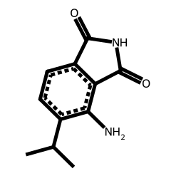 CC(C)c1ccc2c(c1N)C(=O)NC2=O